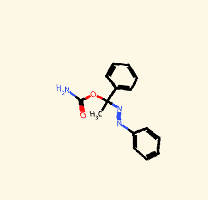 CC(N=Nc1ccccc1)(OC(N)=O)c1ccccc1